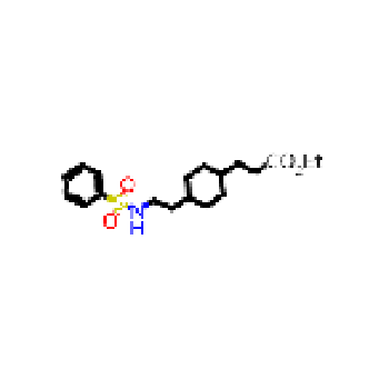 CCOC(=O)CCC1CCC(CCNS(=O)(=O)c2ccccc2)CC1